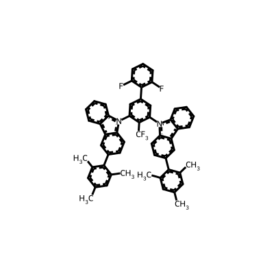 Cc1cc(C)c(-c2ccc3c(c2)c2ccccc2n3-c2cc(-c3c(F)cccc3F)cc(-n3c4ccccc4c4cc(-c5c(C)cc(C)cc5C)ccc43)c2C(F)(F)F)c(C)c1